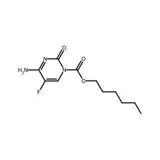 CCCCCCOC(=O)n1cc(F)c(N)nc1=O